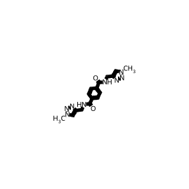 Cn1cc(CNC(=O)c2ccc(C(=O)NCc3cn(C)nn3)cc2)nn1